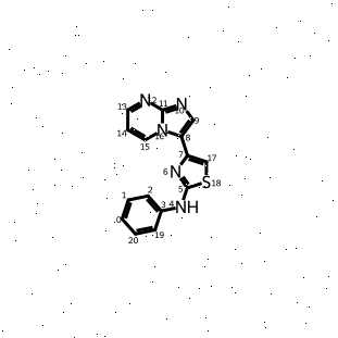 c1ccc(Nc2nc(-c3cnc4ncccn34)cs2)cc1